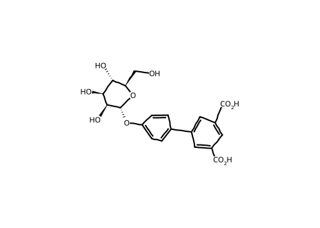 O=C(O)c1cc(C(=O)O)cc(-c2ccc(O[C@H]3O[C@H](CO)[C@@H](O)[C@H](O)[C@@H]3O)cc2)c1